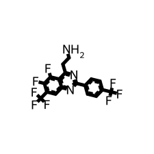 NCCc1nc(-c2ccc(C(F)(F)F)cc2)nc2cc(C(F)(F)F)c(F)c(F)c12